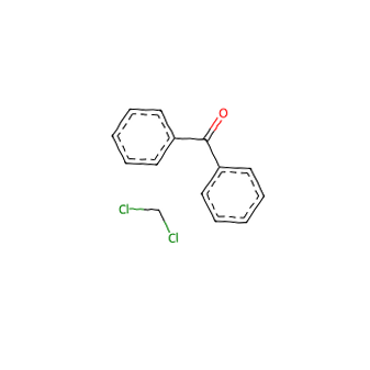 ClCCl.O=C(c1ccccc1)c1ccccc1